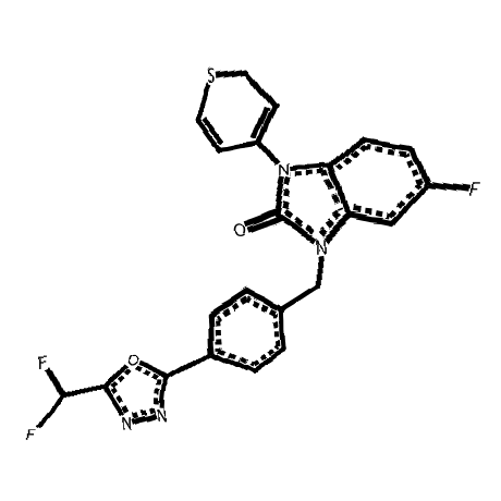 O=c1n(Cc2ccc(-c3nnc(C(F)F)o3)cc2)c2cc(F)ccc2n1C1=CCSC=C1